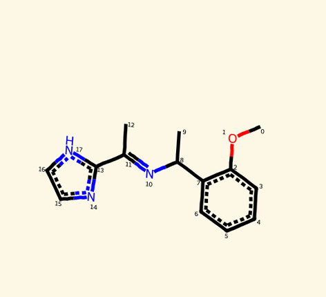 COc1ccccc1C(C)/N=C(\C)c1ncc[nH]1